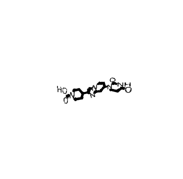 O=C1CCN(c2ccn3cc(C4CCN(C(=O)O)CC4)nc3c2)C(=O)N1